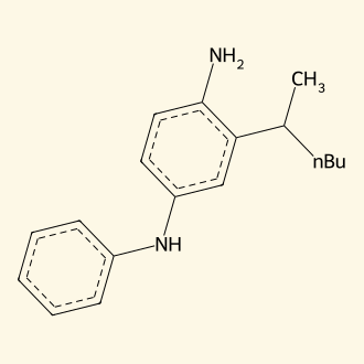 CCCCC(C)c1cc(Nc2ccccc2)ccc1N